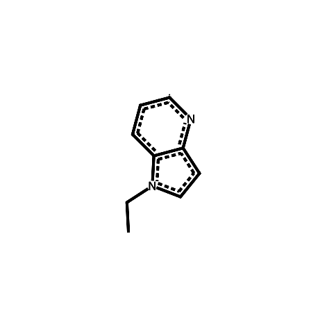 CCn1ccc2n[c]ccc21